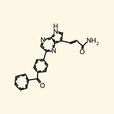 NC(=O)C=Cc1c[nH]c2ncc(-c3ccc(C(=O)c4ccccc4)cc3)nc12